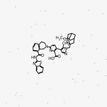 COC12CC3CC(CC(Cn4ncc(-c5ccc(N6CCc7cccc(C(=O)Nc8nc9ccccc9s8)c7C6)nc5C(=O)O)c4C)(C3)C1)C2